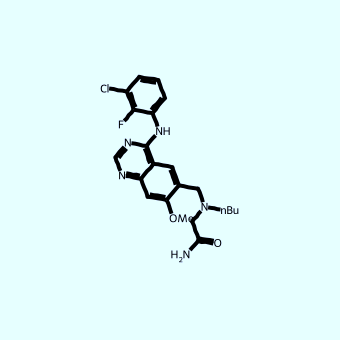 CCCCN(CC(N)=O)Cc1cc2c(Nc3cccc(Cl)c3F)ncnc2cc1OC